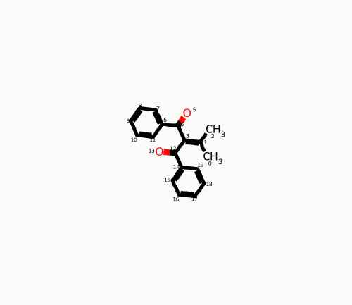 CC(C)=C(C(=O)c1ccccc1)C(=O)c1ccccc1